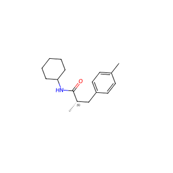 Cc1ccc(C[C@H](C)C(=O)NC2CCCCC2)cc1